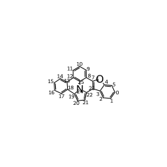 c1ccc2c(c1)oc1c3cccc4c5ccccc5c5ccc(c21)n5c43